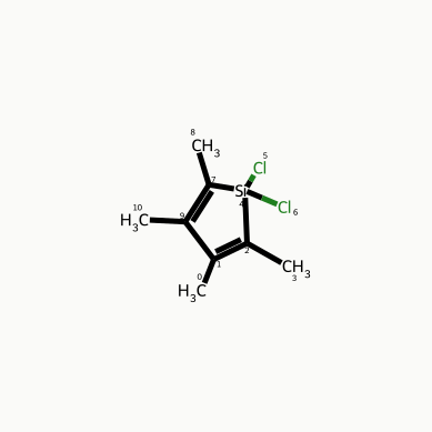 CC1=C(C)[Si](Cl)(Cl)C(C)=C1C